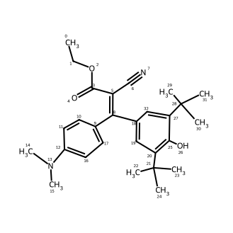 CCOC(=O)C(C#N)=C(c1ccc(N(C)C)cc1)c1cc(C(C)(C)C)c(O)c(C(C)(C)C)c1